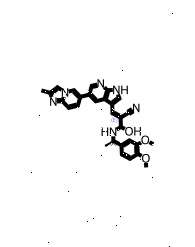 COc1ccc([C@@H](C)NC(O)/C(C#N)=C/c2c[nH]c3ncc(-c4ccc5nc(C)cn5c4)cc23)cc1OC